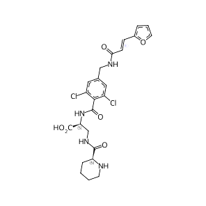 O=C(/C=C/c1ccco1)NCc1cc(Cl)c(C(=O)N[C@@H](CNC(=O)[C@@H]2CCCCN2)C(=O)O)c(Cl)c1